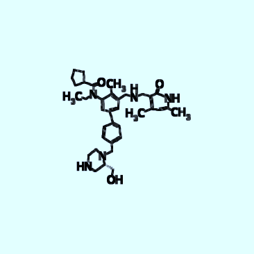 CCN(C(=O)C1CCCC1)c1cc(-c2ccc(CN3CCNC[C@H]3CO)cc2)cc(CNCc2c(C)cc(C)[nH]c2=O)c1C